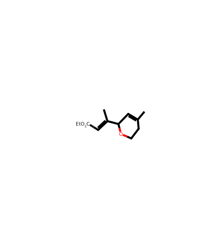 CCOC(=O)C=C(C)C1C=C(C)CCO1